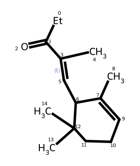 [CH2]CC(=O)/C(C)=C/C1C(C)=CCCC1(C)C